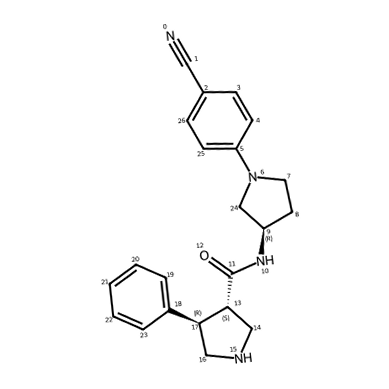 N#Cc1ccc(N2CC[C@@H](NC(=O)[C@@H]3CNC[C@H]3c3ccccc3)C2)cc1